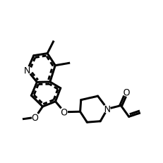 C=CC(=O)N1CCC(Oc2cc3c(C)c(C)cnc3cc2OC)CC1